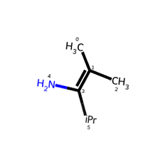 CC(C)=C(N)C(C)C